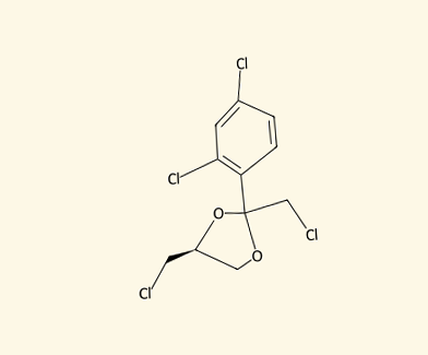 ClC[C@@H]1COC(CCl)(c2ccc(Cl)cc2Cl)O1